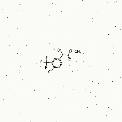 COC(=O)C(Br)c1ccc(Cl)c(C(F)(F)F)c1